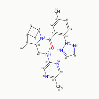 CC1C2CC(C2)N(C(=O)c2cc(C#N)ccc2-n2nccn2)C1CNc1cnc(C(F)(F)F)cn1